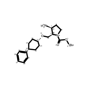 CC(C)(C)OC(=O)N1CC[C@H](N)[C@@H]1CO[C@H]1CC[C@@H](c2ccccc2)CC1